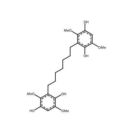 COc1cc(O)c(OC)c(CCCCCCCc2c(O)c(OC)cc(O)c2OC)c1O